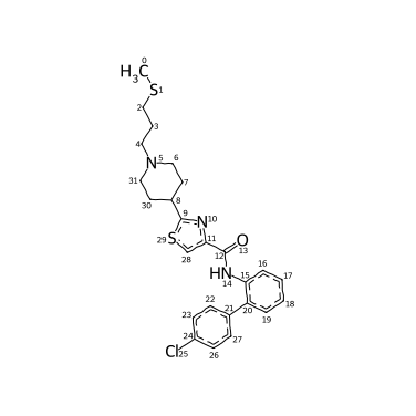 CSCCCN1CCC(c2nc(C(=O)Nc3ccccc3-c3ccc(Cl)cc3)cs2)CC1